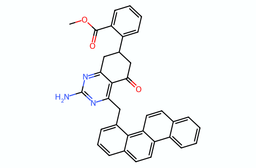 COC(=O)c1ccccc1C1CC(=O)c2c(Cc3cccc4ccc5c6ccccc6ccc5c34)nc(N)nc2C1